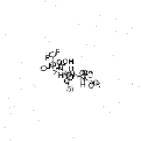 CC(C)(C)OC(=O)CCC(NC(=O)CCNC(=O)C(CCN(C(=O)CO)C(c1cc(-c2cc(F)ccc2F)cn1Cc1ccccc1)C(C)(C)C)NC(=O)OCC[Si](C)(C)C)C(=O)OC(C)(C)C